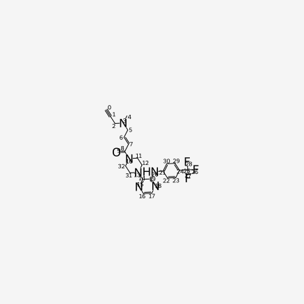 C#CCN(C)C/C=C/C(=O)N1CCN(c2nccnc2Nc2ccc(C(F)(F)F)cc2)CC1